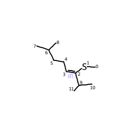 CS/C(=C\CCC(C)C)C(C)C